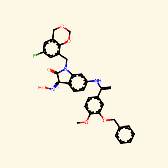 C=C(Nc1ccc2c(c1)N(Cc1cc(F)cc3c1OCOC3)C(=O)/C2=N\O)c1ccc(OC)c(OCc2ccccc2)c1